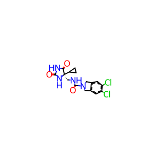 O=C1NC(=O)[C@@](CNC(=O)N2Cc3cc(Cl)c(Cl)cc3C2)(C2CC2)N1